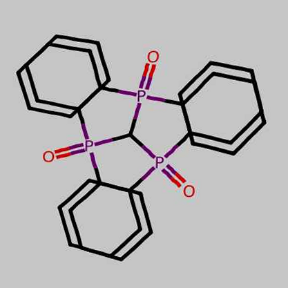 O=P(C1CCCCC1)(C1CCCCC1)C(P(=O)(C1CCCCC1)C1CCCCC1)P(=O)(C1CCCCC1)C1CCCCC1